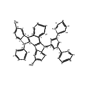 Oc1ccc2c(c1)c1c(c3ccccc3c3c4cc(O)ccc4n(-c4ccccc4)c31)n2-c1cc(-c2ccccn2)cc(-c2ccccn2)c1